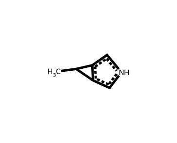 CC1c2c[nH]cc21